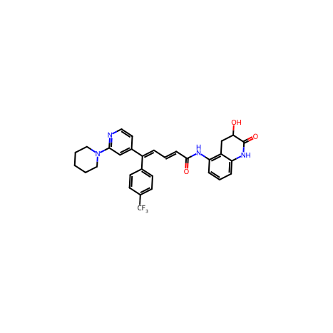 O=C(/C=C/C=C(\c1ccc(C(F)(F)F)cc1)c1ccnc(N2CCCCC2)c1)Nc1cccc2c1CC(O)C(=O)N2